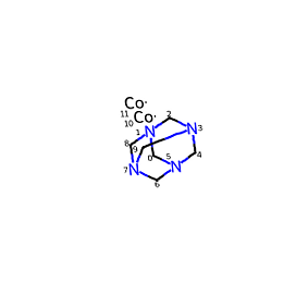 C1N2CN3CN1CN(C2)C3.[Co].[Co]